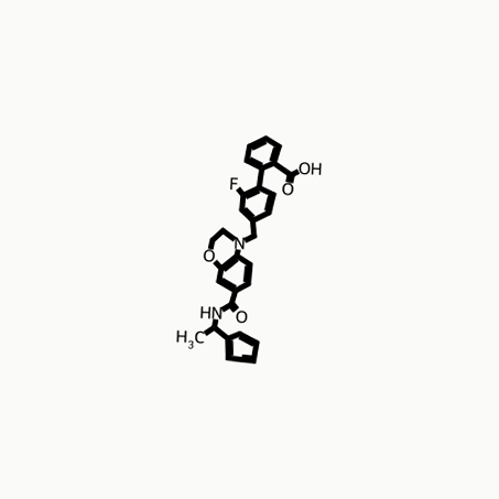 CC(NC(=O)c1ccc2c(c1)OCCN2Cc1ccc(-c2ccccc2C(=O)O)c(F)c1)c1ccccc1